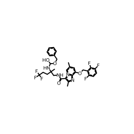 Cc1cc(OCc2c(F)ccc(F)c2F)c2nc(C)c(C(=O)NCC(C)(CCC(F)(F)F)NC(O)OCc3ccccc3)n2c1